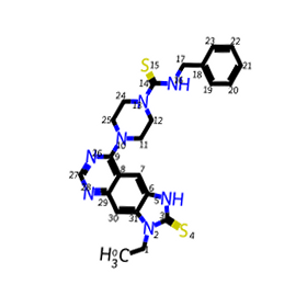 CCn1c(=S)[nH]c2cc3c(N4CCN(C(=S)NCc5ccccc5)CC4)ncnc3cc21